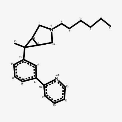 CCCCCCN1CC2C(C1)C2(C)c1cccc(-c2ccccn2)c1